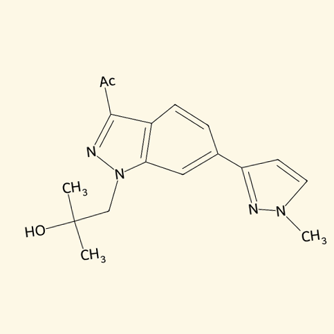 CC(=O)c1nn(CC(C)(C)O)c2cc(-c3ccn(C)n3)ccc12